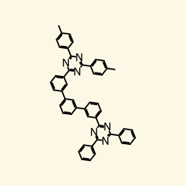 Cc1ccc(-c2nc(-c3ccc(C)cc3)nc(-c3cccc(-c4cccc(-c5cccc(-c6nc(-c7ccccc7)nc(-c7ccccc7)n6)c5)c4)c3)n2)cc1